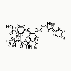 Cc1ccc(-c2cn(CCOc3cc4c(cc3Oc3ccc(C(=O)O)c(F)c3)[C@@](C)(CC(=O)Nc3nccs3)NCC4)nn2)cn1